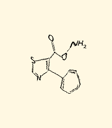 NOC(=O)c1scnc1-c1ccccc1